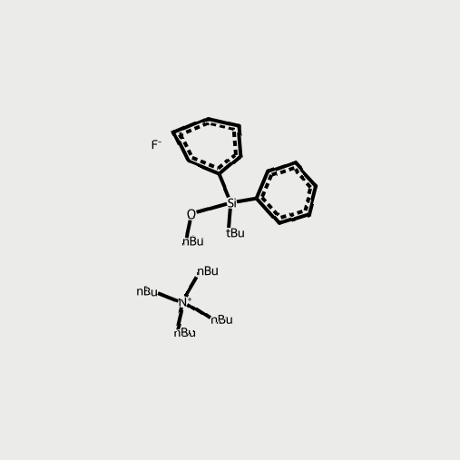 CCCCO[Si](c1ccccc1)(c1ccccc1)C(C)(C)C.CCCC[N+](CCCC)(CCCC)CCCC.[F-]